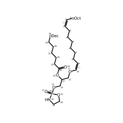 CCCCCCCC/C=C\CCCCCC/C=C\OCC(COP1(=O)NCCO1)OC(=O)CCCCCCCCCCCCCCC